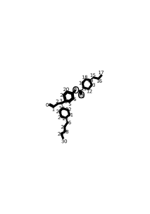 C=CCC(c1ccc(OC(=O)[C@H]2CC[C@H](CCC)CC2)cc1)[C@H]1CC[C@H](CCCCC)CC1